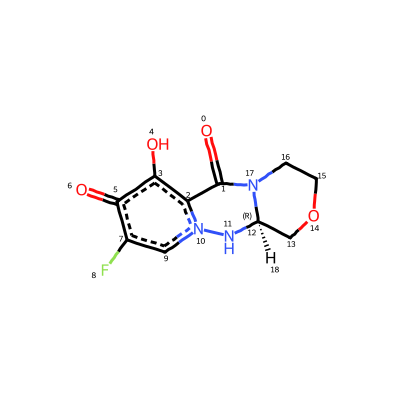 O=C1c2c(O)c(=O)c(F)cn2N[C@@H]2COCCN12